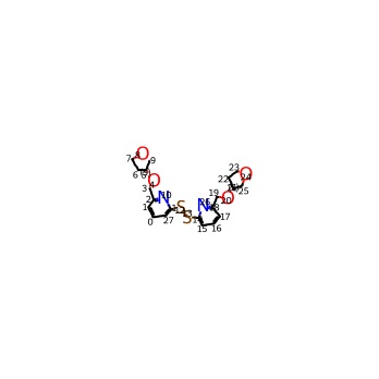 c1cc(CO[C@H]2CCOC2)nc(SSc2cccc(CO[C@H]3CCOC3)n2)c1